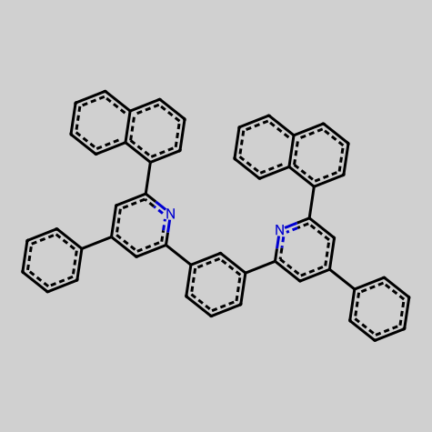 c1ccc(-c2cc(-c3cccc(-c4cc(-c5ccccc5)cc(-c5cccc6ccccc56)n4)c3)nc(-c3cccc4ccccc34)c2)cc1